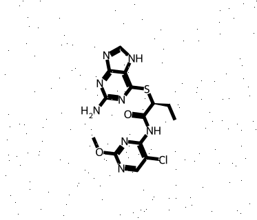 CC[C@H](Sc1nc(N)nc2nc[nH]c12)C(=O)Nc1nc(OC)ncc1Cl